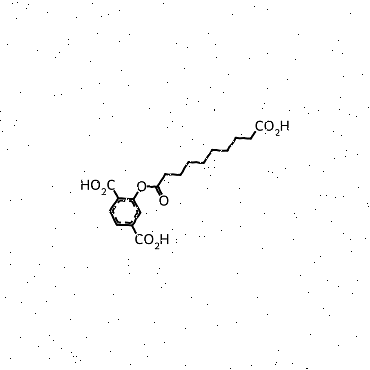 O=C(O)CCCCCCCCC(=O)Oc1cc(C(=O)O)ccc1C(=O)O